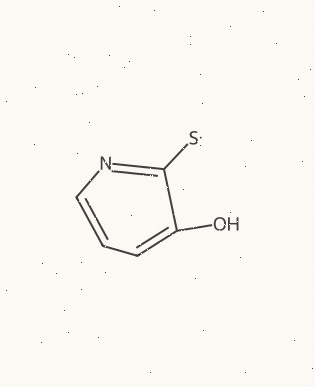 Oc1cccnc1[S]